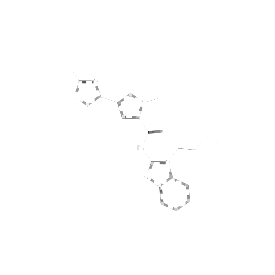 CCCn1c(NC(=O)c2cc(-c3csc(C)n3)cn2C)nc2ccccc21